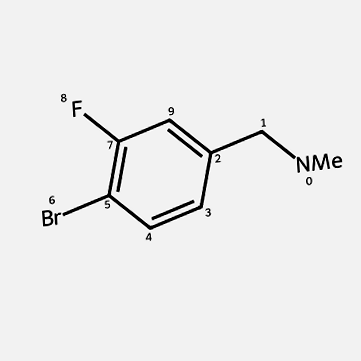 CNCc1ccc(Br)c(F)c1